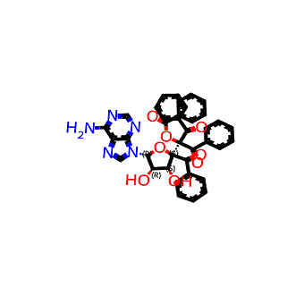 Nc1ncnc2c1ncn2[C@@H]1O[C@](C(=O)c2ccccc2)(C(OC(=O)c2ccccc2)(C(=O)c2ccccc2)C(=O)c2ccccc2)[C@@H](O)[C@H]1O